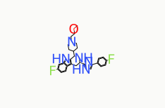 COCCN1CCC(C2N[C@@H](c3nc(-c4ccc(F)cc4)c[nH]3)Cc3c2[nH]c2cc(F)ccc32)CC1